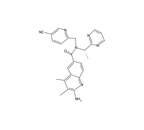 Cc1c(N)nc2ccc(C(=O)N(Cc3ccc(C#N)cn3)[C@@H](C)c3ncccn3)cc2c1C